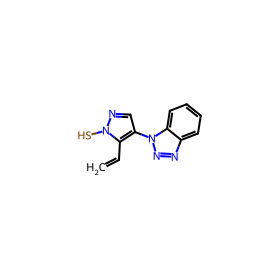 C=Cc1c(-n2nnc3ccccc32)cnn1S